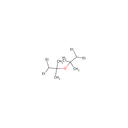 CCC(CC)C(C)(C)OC(C)(C)C(CC)CC